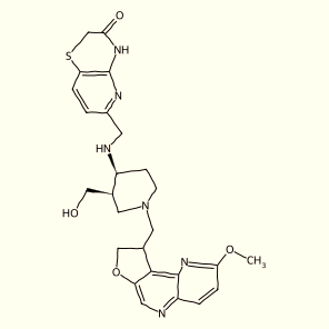 COc1ccc2ncc3c(c2n1)C(CN1CC[C@H](NCc2ccc4c(n2)NC(=O)CS4)[C@H](CO)C1)CO3